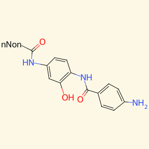 CCCCCCCCCC(=O)Nc1ccc(NC(=O)c2ccc(N)cc2)c(O)c1